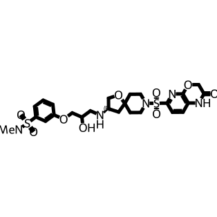 CNS(=O)(=O)c1cccc(OCC(O)CN[C@H]2COC3(CCN(S(=O)(=O)c4ccc5c(n4)OCC(=O)N5)CC3)C2)c1